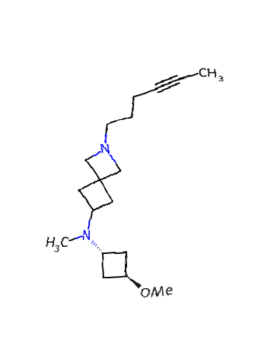 CC#CCCCN1CC2(CC(N(C)[C@H]3C[C@H](OC)C3)C2)C1